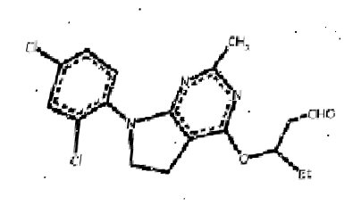 CCC(C[11CH]=O)Oc1nc(C)nc2c1CCN2c1ccc(Cl)cc1Cl